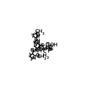 COc1ncccc1C(=O)Nc1cn2cc(C34CCC(C)(C3)OC4)nc2c(F)c1OC(C)C.O=C(O)C(F)(F)F